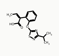 CC=C(C(=O)O)c1ccccc1Oc1nc(C(C)C)ns1